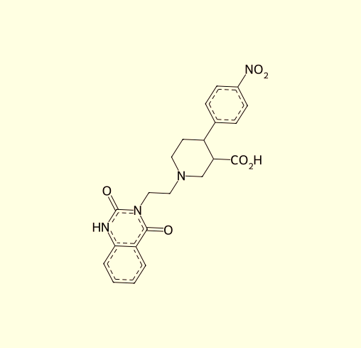 O=C(O)C1CN(CCn2c(=O)[nH]c3ccccc3c2=O)CCC1c1ccc([N+](=O)[O-])cc1